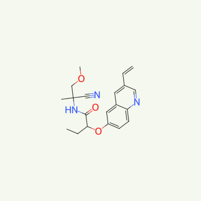 C=Cc1cnc2ccc(OC(CC)C(=O)NC(C)(C#N)COC)cc2c1